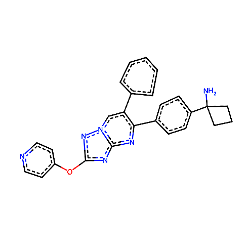 NC1(c2ccc(-c3nc4nc(Oc5ccncc5)nn4cc3-c3ccccc3)cc2)CCC1